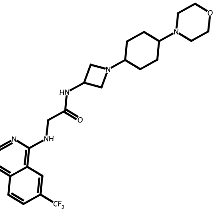 O=C(CNc1ncnc2ccc(C(F)(F)F)cc12)NC1CN(C2CCC(N3CCOCC3)CC2)C1